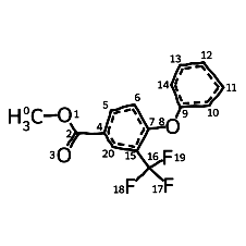 COC(=O)c1ccc(Oc2ccccc2)c(C(F)(F)F)c1